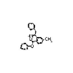 Cc1ccc(C(=O)Oc2ccccc2)c(C(=N)Cc2ccccc2)c1